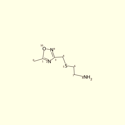 Cc1nc(CSCCN)no1